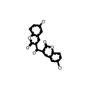 O=C(c1cc2cc(Cl)ccc2oc1=O)c1cc2cc(Cl)ccc2oc1=O